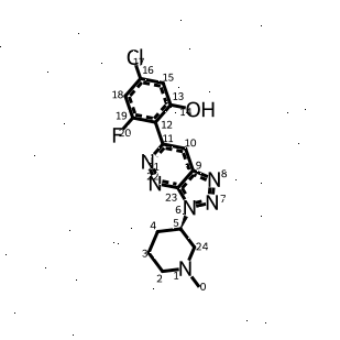 CN1CCC[C@@H](n2nnc3cc(-c4c(O)cc(Cl)cc4F)nnc32)C1